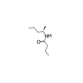 CCCC(=O)N[C@H](C)CCC